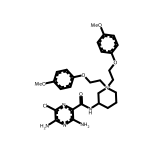 COc1ccc(OCC[N+]2(CCOc3ccc(OC)cc3)CCCC(NC(=O)c3nc(Cl)c(N)nc3N)C2)cc1